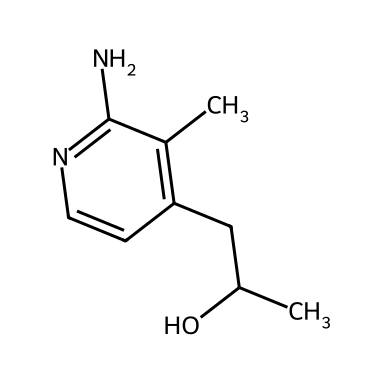 Cc1c(CC(C)O)ccnc1N